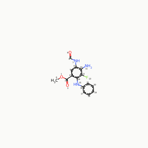 COC(=O)c1cc(NC=O)c(N)c(F)c1Nc1ccccc1